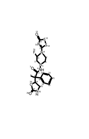 CC(C(=O)NN1CCN(c2nc(=O)ss2)C(F)C1)(c1ccccc1)C1CNC(=O)O1